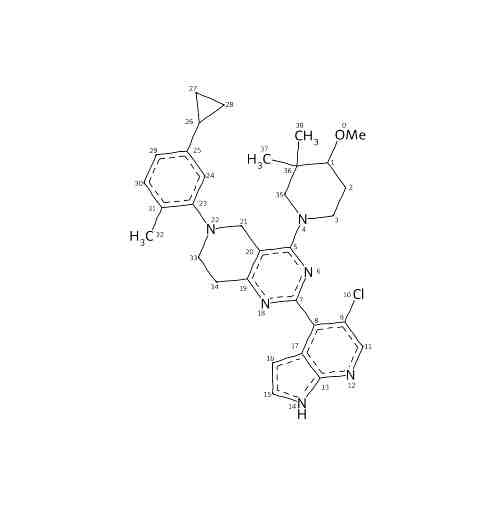 COC1CCN(c2nc(-c3c(Cl)cnc4[nH]ccc34)nc3c2CN(c2cc(C4CC4)ccc2C)CC3)CC1(C)C